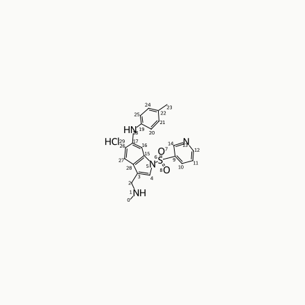 CNCc1cn(S(=O)(=O)c2cccnc2)c2cc(Nc3ccc(C)cc3)ccc12.Cl